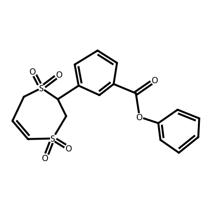 O=C(Oc1ccccc1)c1cccc(C2CS(=O)(=O)C=CCS2(=O)=O)c1